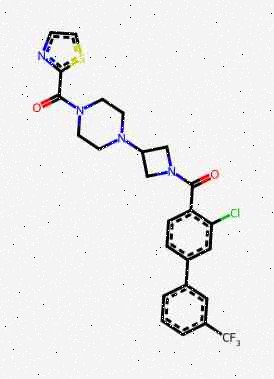 O=C(c1nccs1)N1CCN(C2CN(C(=O)c3ccc(-c4cccc(C(F)(F)F)c4)cc3Cl)C2)CC1